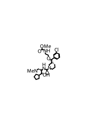 CNC[C@@H](NC(=O)N1CCC[C@@H]([C@@H](OCCNC(=O)OC)c2cccc(Cl)c2)C1)[C@@H](O)C1CCCC1